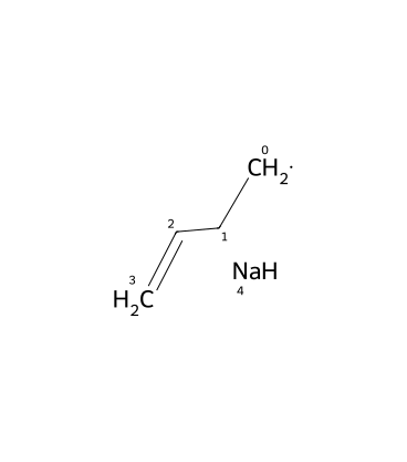 [CH2]CC=C.[NaH]